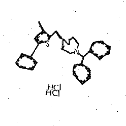 Cc1cc(-c2ccccc2)sc1CN1CCN(C(c2ccccc2)c2ccccc2)CC1.Cl.Cl